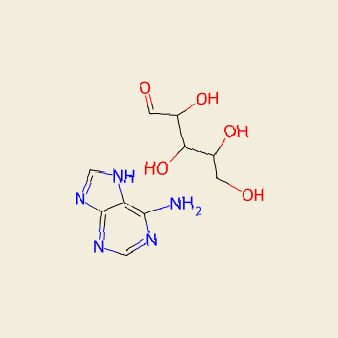 Nc1ncnc2nc[nH]c12.O=CC(O)C(O)C(O)CO